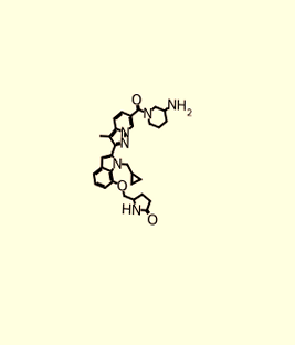 Cc1c(-c2cc3cccc(OCC4CCC(=O)N4)c3n2CC2CC2)nn2cc(C(=O)N3CCCC(N)C3)ccc12